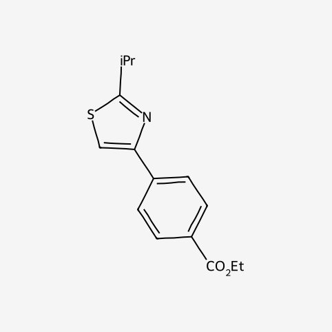 CCOC(=O)c1ccc(-c2csc(C(C)C)n2)cc1